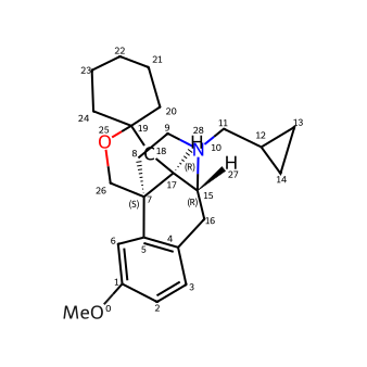 COc1ccc2c(c1)[C@]13CCN(CC4CC4)[C@H](C2)[C@@H]1CC1(CCCCC1)OC3